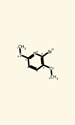 COc1ccc(SC)nc1Br